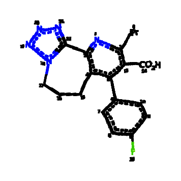 CC(C)c1nc2c(c(-c3ccc(F)cc3)c1C(=O)O)CCCn1nnnc1-2